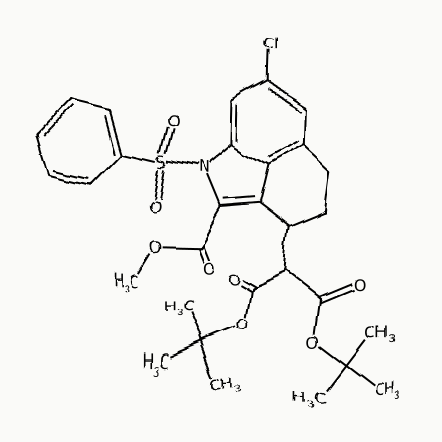 COC(=O)c1c2c3c(cc(Cl)cc3n1S(=O)(=O)c1ccccc1)CCC2C(C(=O)OC(C)(C)C)C(=O)OC(C)(C)C